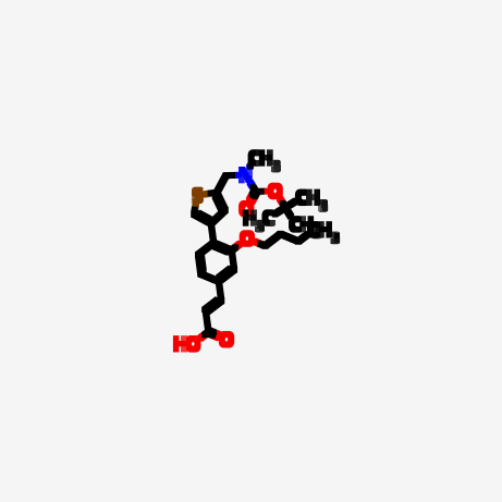 CCCCOc1cc(C=CC(=O)O)ccc1-c1csc(CN(C)C(=O)OC(C)(C)C)c1